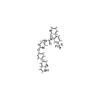 O=C(Nc1cnc(Oc2ccc(-c3cnc4[nH]ccc4c3)cc2)nc1)Nc1cc(C(F)(F)F)ccc1-c1cccnc1